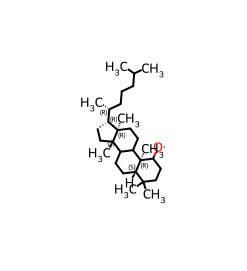 CC(C)CCC[C@@H](C)[C@H]1CC[C@@]2(C)C3CC[C@H]4C(C)(C)CCC([O])[C@]4(C)C3CC[C@]12C